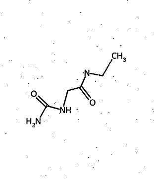 CC[N]C(=O)CNC(N)=O